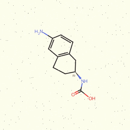 Nc1ccc2c(c1)CC[C@H](NC(=O)O)C2